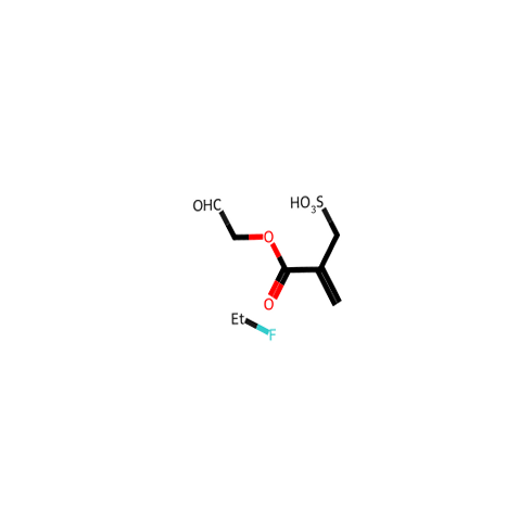 C=C(CS(=O)(=O)O)C(=O)OCC=O.CCF